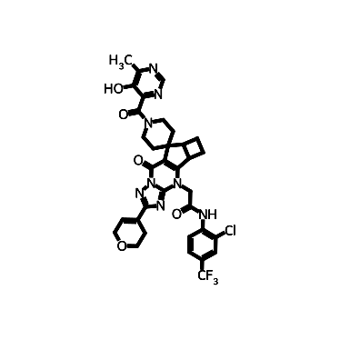 Cc1ncnc(C(=O)N2CCC3(CC2)c2c(n(CC(=O)Nc4ccc(C(F)(F)F)cc4Cl)c4nc(C5=CCOCC5)nn4c2=O)C2CCC23)c1O